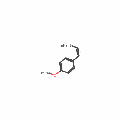 CCCCC/C=C\c1ccc(OCCCCCC)cc1